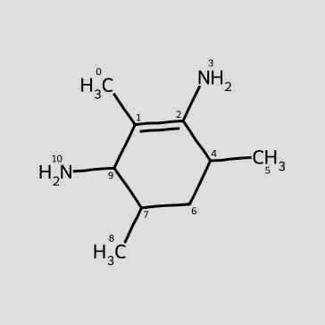 CC1=C(N)C(C)CC(C)C1N